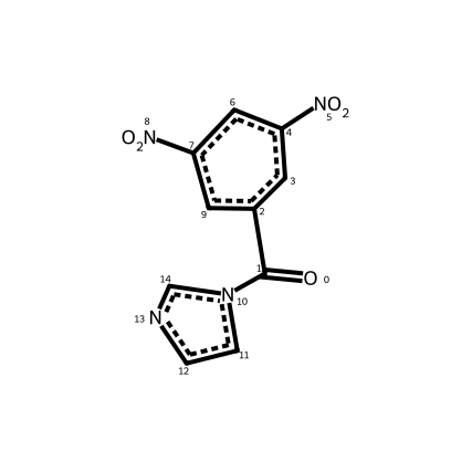 O=C(c1cc([N+](=O)[O-])cc([N+](=O)[O-])c1)n1ccnc1